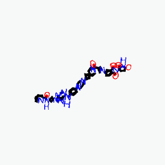 Cc1cccc(C(=O)NC2CC(n3cnc4c(Nc5ccc(N6CCN(C7CC8(CCN(C(=O)C9CN(c%10ccc%11c(c%10)C(=O)N([C@H]%10CCC(=O)NC%10=O)C%11=O)C9)CC8)C7)CC6)cc5)ncnc43)C2)n1